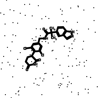 CC(C)(C(=O)NCc1cc(Cl)c(C2CCC(=O)NC2=O)c(Cl)c1)c1ccc2[nH]ncc2c1